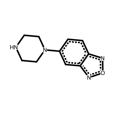 c1cc2nonc2cc1N1CCNCC1